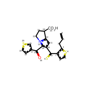 C=CCc1sccc1C(=S)c1cc2n(c1C(=O)c1ccsc1)CCC2C(=O)O